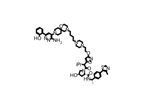 Cc1ncsc1-c1ccc([C@H](C)NC(=O)[C@@H]2C[C@@H](O)CN2C(=O)C(c2cc(OCCN3CCN(CCCCN4CCOC5(CCN(c6cc(-c7ccccc7O)nnc6N)CC5)C4)CC3)no2)C(C)C)cc1